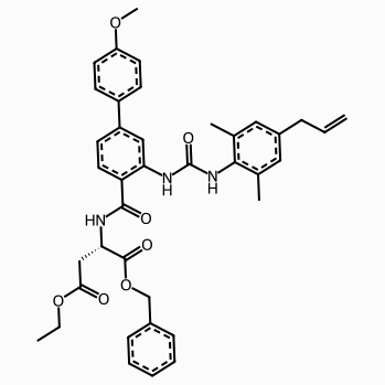 C=CCc1cc(C)c(NC(=O)Nc2cc(-c3ccc(OC)cc3)ccc2C(=O)N[C@@H](CC(=O)OCC)C(=O)OCc2ccccc2)c(C)c1